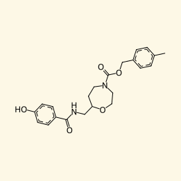 Cc1ccc(COC(=O)N2CCOC(CNC(=O)c3ccc(O)cc3)CC2)cc1